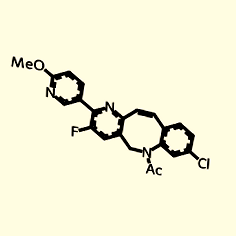 COc1ccc(-c2nc3c(cc2F)CN(C(C)=O)c2cc(Cl)ccc2/C=C\3)cn1